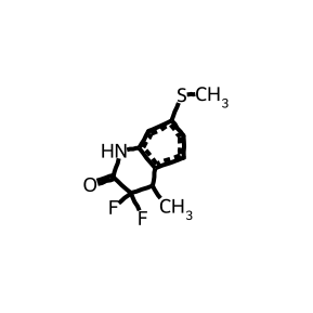 CSc1ccc2c(c1)NC(=O)C(F)(F)C2C